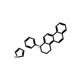 c1cc[nH]c1.c1ccc([C@@H]2CCCc3c2ccc2c3ccc3ccccc32)cc1